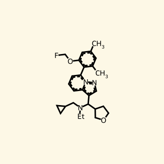 CCN(CC1CC1)C(c1cnn2c(-c3c(C)cc(C)cc3OCF)cccc12)C1CCOC1